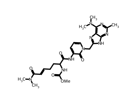 COC(=O)NC(CCC=CC(=O)N(C)C)C(=O)Nc1cccn(Cc2nc3c(N(C)C)nc(C)nc3[nH]2)c1=O